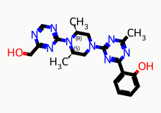 Cc1nc(-c2ccccc2O)nc(N2C[C@@H](C)N(c3ncnc(CO)n3)[C@@H](C)C2)n1